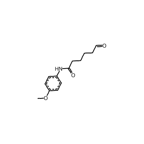 COc1ccc(NC(=O)CCCCC=O)cc1